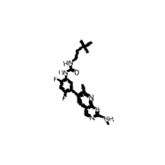 CNc1ncc2cc(-c3cc(NC(=O)NCCC(C)(C)C)c(F)cc3F)c(C)nc2n1